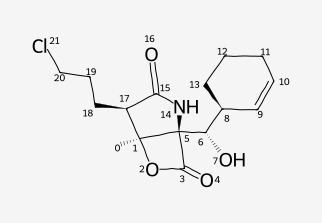 C[C@@]12OC(=O)[C@]1([C@@H](O)[C@@H]1C=CCCC1)NC(=O)[C@@H]2CCCCl